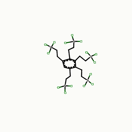 Cl[Si](Cl)(Cl)CCc1cc(CC[Si](Cl)(Cl)Cl)c(CC[Si](Cl)(Cl)Cl)c(CC[Si](Cl)(Cl)Cl)c1CC[Si](Cl)(Cl)Cl